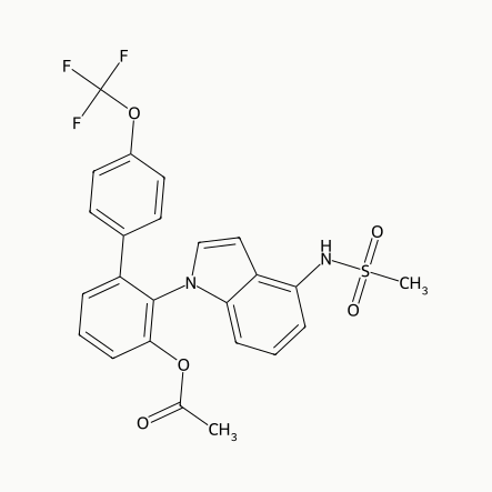 CC(=O)Oc1cccc(-c2ccc(OC(F)(F)F)cc2)c1-n1ccc2c(NS(C)(=O)=O)cccc21